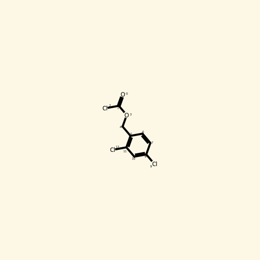 O=C(Cl)OCc1ccc(Cl)cc1Cl